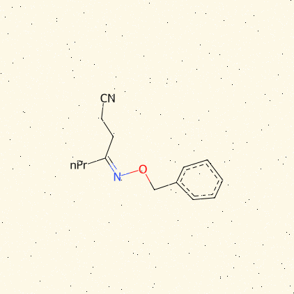 CCCC(CCC#N)=NOCc1ccccc1